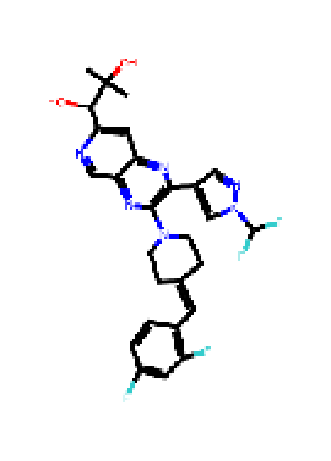 CC(C)(O)[C@H](O)c1cc2nc(-c3cnn(C(F)F)c3)c(N3CCC(=Cc4ccc(F)cc4F)CC3)nc2cn1